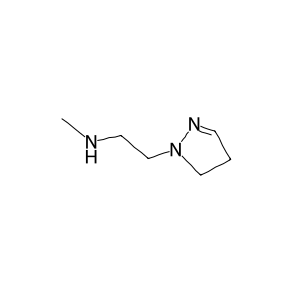 CNCCN1CCC=N1